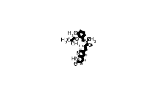 Cc1cccc(CN(C)C(=O)/C=C/c2cnc3c(c2)CCC(=O)N3)c1OCC(C)C